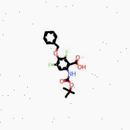 CC(C)(C)OC(=O)Nc1cc(F)c(OCc2ccccc2)c(F)c1C(=O)O